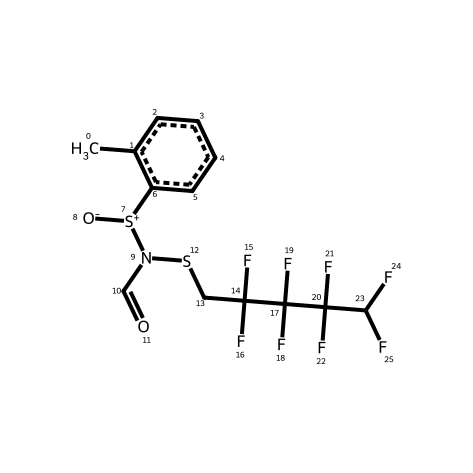 Cc1ccccc1[S+]([O-])N(C=O)SCC(F)(F)C(F)(F)C(F)(F)C(F)F